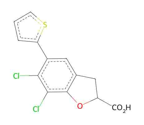 O=C(O)C1Cc2cc(-c3cccs3)c(Cl)c(Cl)c2O1